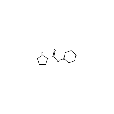 O=C(ON1CCSCC1)[C@@H]1CCCN1